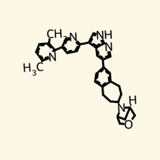 Cc1ccc(C)c(-c2ccc(-c3c[nH]c4ncc(-c5ccc6c(c5)CC[C@@H](N5C7COC[C@H]5C7)CC6)cc34)nc2)n1